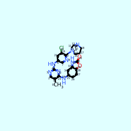 Cc1cnc(Nc2cnc(N3CCN4CCC3CC4)c(Cl)c2)nc1Nc1ccc2oc(=O)[nH]c2c1